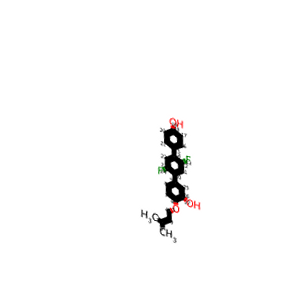 CC(C)=CCOc1ccc(-c2cc(F)c(-c3ccc(O)cc3)cc2F)cc1O